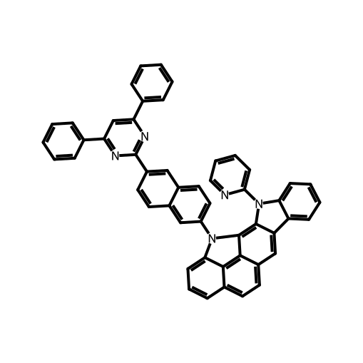 c1ccc(-c2cc(-c3ccccc3)nc(-c3ccc4cc(-n5c6cccc7ccc8cc9c%10ccccc%10n(-c%10ccccn%10)c9c5c8c76)ccc4c3)n2)cc1